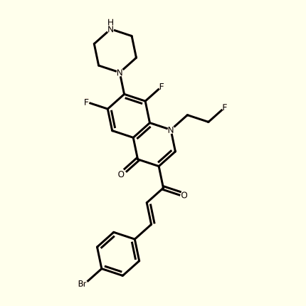 O=C(C=Cc1ccc(Br)cc1)c1cn(CCF)c2c(F)c(N3CCNCC3)c(F)cc2c1=O